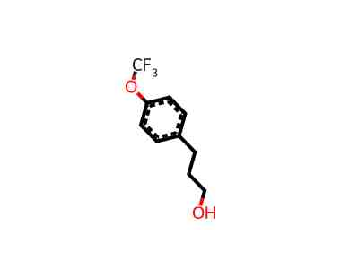 OCCCc1ccc(OC(F)(F)F)cc1